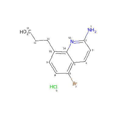 Cl.Nc1ccc2c(Br)ccc(CCC(=O)O)c2n1